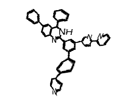 c1ccc(-c2ccc3c(c2)C(c2ccccc2)NC(c2cc(-c4ccc(-c5ccncc5)cc4)cc(-c4ccc(-c5ccccn5)nc4)c2)=N3)cc1